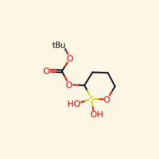 CC(C)(C)OC(=O)OC1CCCOS1(O)O